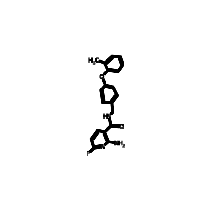 Cc1ccccc1Oc1ccc(CNC(=O)c2ccc(F)nc2N)cc1